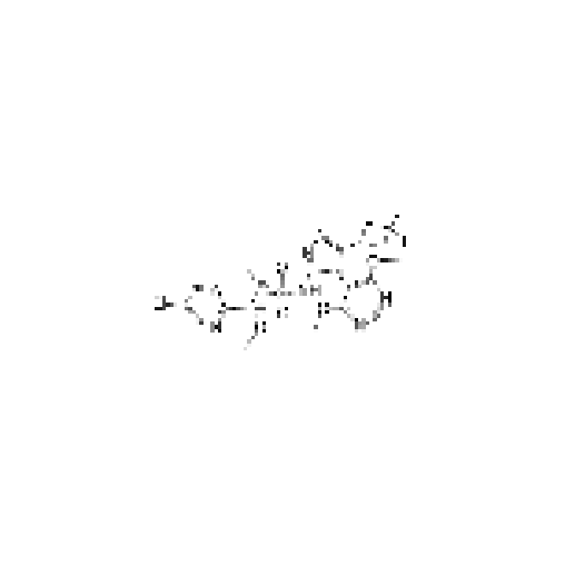 COc1ncnc(OC)c1-n1c(NS(=O)(=O)[C@@H](C)[C@H](OC)c2ncc(Cl)cn2)nnc1C1CC(C)(F)C1